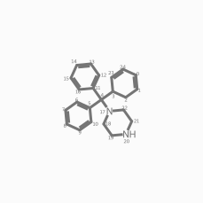 C1=CCC(C(c2ccccc2)(c2ccccc2)N2CCNCC2)C=C1